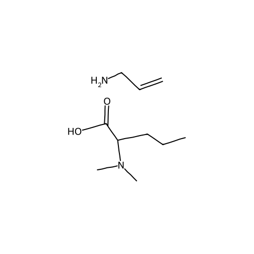 C=CCN.CCCC(C(=O)O)N(C)C